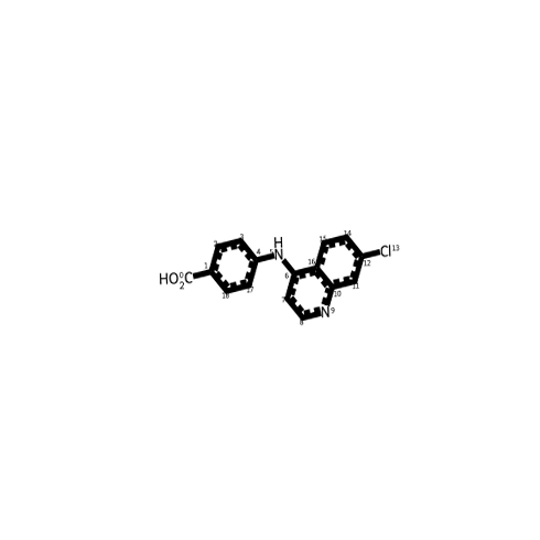 O=C(O)c1ccc(Nc2ccnc3cc(Cl)ccc23)cc1